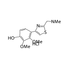 CNCc1nc(-c2ccc(O)c(OC)c2OC)cs1.Cl